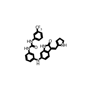 O=C(Nc1cccc(Nc2ccc3c(c2)NC(=O)/C3=C\C2=CCCN2)c1)Nc1cccc(C(F)(F)F)c1